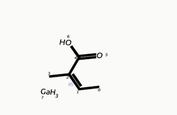 C/C=C(/C)C(=O)O.[GaH3]